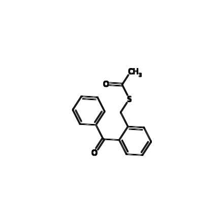 CC(=O)SCc1ccccc1C(=O)c1ccccc1